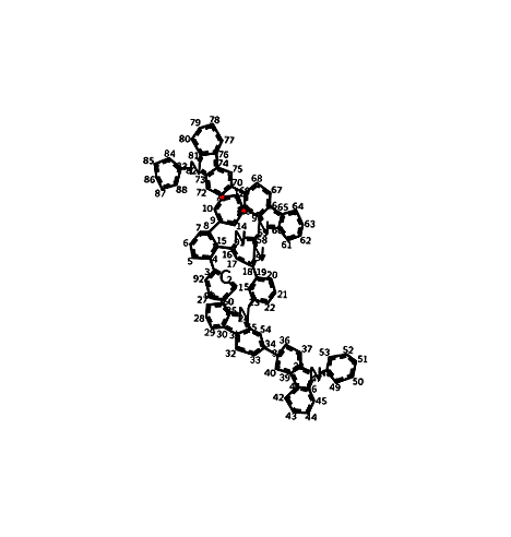 c1ccc(-c2cccc(-c3ccccc3)c2-c2cc(-c3cccc(-n4c5ccccc5c5ccc(-c6ccc7c(c6)c6ccccc6n7-c6ccccc6)cc54)c3)nc(-n3c4ccccc4c4ccc(-c5ccc6c(c5)c5ccccc5n6-c5ccccc5)cc43)n2)cc1